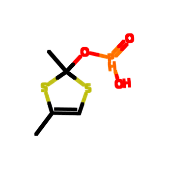 CC1=CSC(C)(O[PH](=O)O)S1